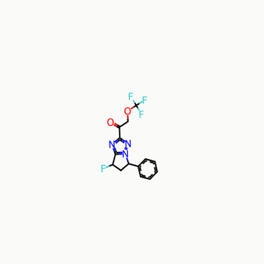 O=C(COC(F)(F)F)c1nc2n(n1)C(c1ccccc1)CC2F